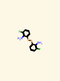 Nc1c(F)cccc1SSc1cccc(F)c1N